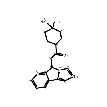 CC1(C)CCC(C(=O)CC2c3ncccc3-c3cncn32)CC1